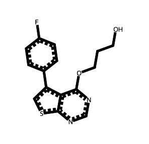 OCCCOc1ncnc2scc(-c3ccc(F)cc3)c12